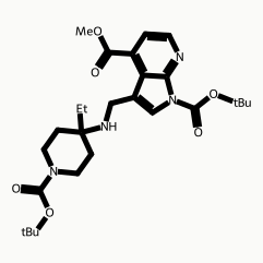 CCC1(NCc2cn(C(=O)OC(C)(C)C)c3nccc(C(=O)OC)c23)CCN(C(=O)OC(C)(C)C)CC1